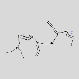 C=C(/C=C\C)SC(=C)/N=C\N(C)C